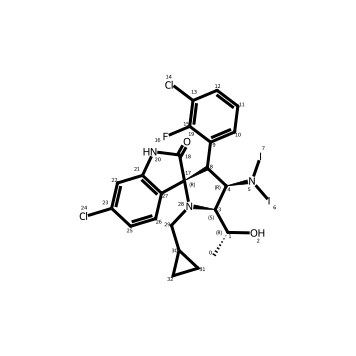 C[C@@H](O)[C@@H]1[C@H](N(I)I)C(c2cccc(Cl)c2F)[C@@]2(C(=O)Nc3cc(Cl)ccc32)N1CC1CC1